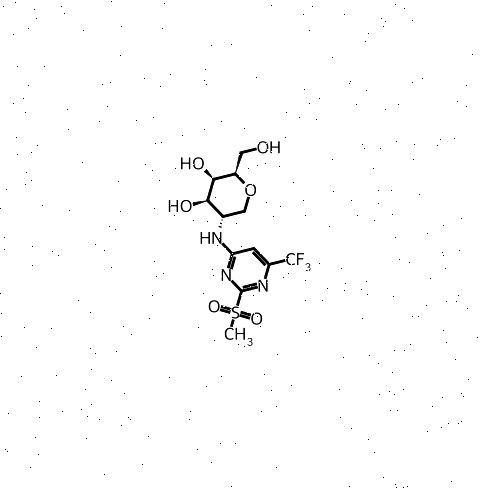 CS(=O)(=O)c1nc(N[C@H]2CO[C@H](CO)[C@H](O)[C@@H]2O)cc(C(F)(F)F)n1